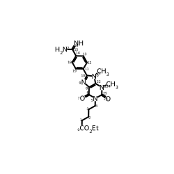 CCOC(=O)CCCCn1c(=O)c2nc(-c3ccc(C(=N)N)cc3)n(C)c2n(C)c1=O